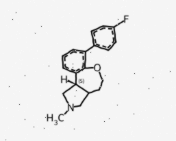 CN1CC2CCOc3c(-c4ccc(F)cc4)cccc3[C@H]2C1